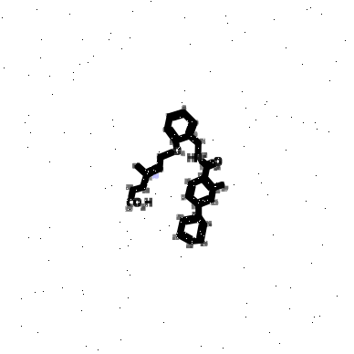 C/C(=C\COc1ccccc1CNC(=O)c1ccc(-c2ccccc2)cc1C)CCC(=O)O